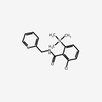 C[Si](C)(C)c1cccc(Cl)c1C(=O)NCc1ccccn1